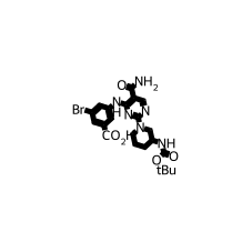 CC(C)(C)OC(=O)NC1CCCN(c2ncc(C(N)=O)c(Nc3cc(Br)cc(C(=O)O)c3)n2)C1